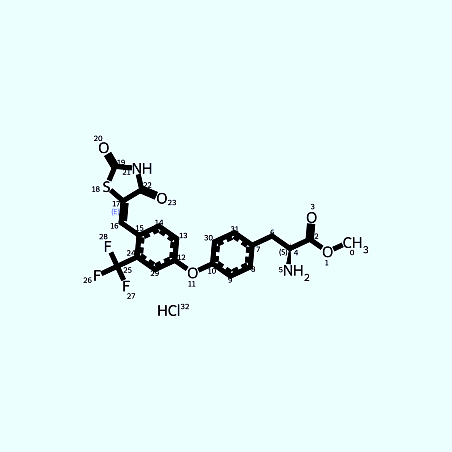 COC(=O)[C@@H](N)Cc1ccc(Oc2ccc(/C=C3/SC(=O)NC3=O)c(C(F)(F)F)c2)cc1.Cl